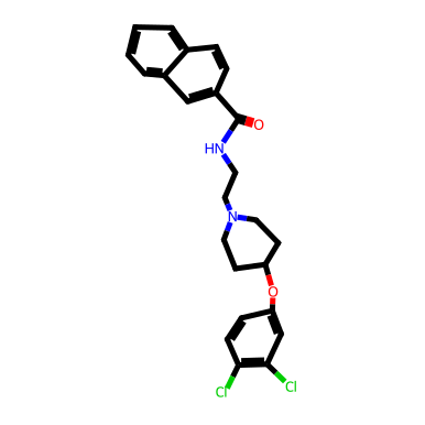 O=C(NCCN1CCC(Oc2ccc(Cl)c(Cl)c2)CC1)c1ccc2ccccc2c1